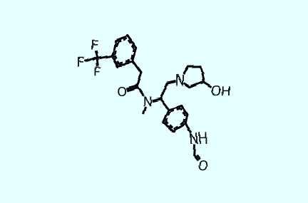 CN(C(=O)Cc1cccc(C(F)(F)F)c1)C(CN1CCC(O)C1)c1ccc(NC=O)cc1